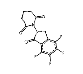 O=C1c2c(F)c(F)c(F)c(F)c2CN1N1C(=O)CCCC1=O